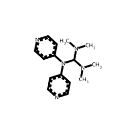 CN(C)C(N(C)C)N(c1ccncc1)c1ccncc1